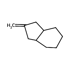 C=C1CC2CCCCC2C1